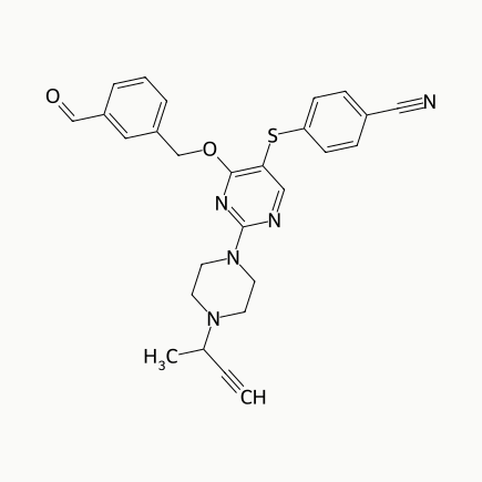 C#CC(C)N1CCN(c2ncc(Sc3ccc(C#N)cc3)c(OCc3cccc(C=O)c3)n2)CC1